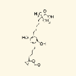 CC(C)(CCCCCc1cc(O)c(CCCCC2(OC=O)CC2)cc1O)C(=O)O